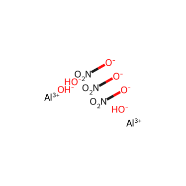 O=[N+]([O-])[O-].O=[N+]([O-])[O-].O=[N+]([O-])[O-].[Al+3].[Al+3].[OH-].[OH-].[OH-]